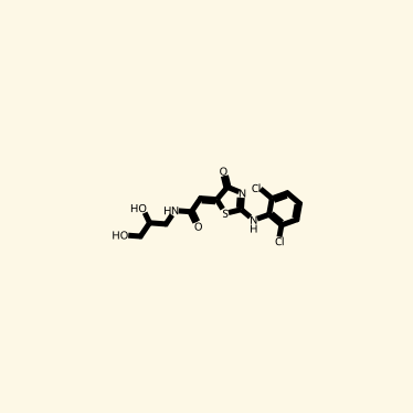 O=C(/C=C1\SC(Nc2c(Cl)cccc2Cl)=NC1=O)NCC(O)CO